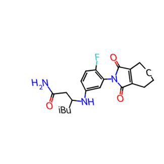 CCC(C)C(CC(N)=O)Nc1ccc(F)c(N2C(=O)C3=C(CCCC3)C2=O)c1